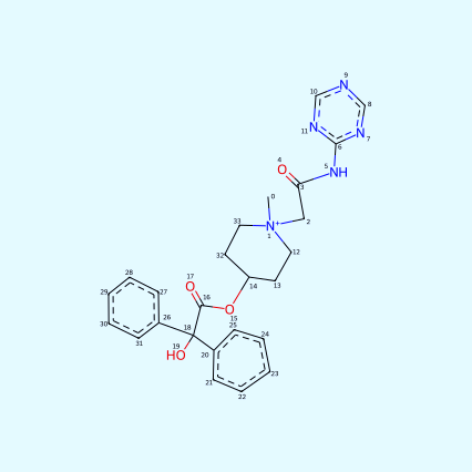 C[N+]1(CC(=O)Nc2ncncn2)CCC(OC(=O)C(O)(c2ccccc2)c2ccccc2)CC1